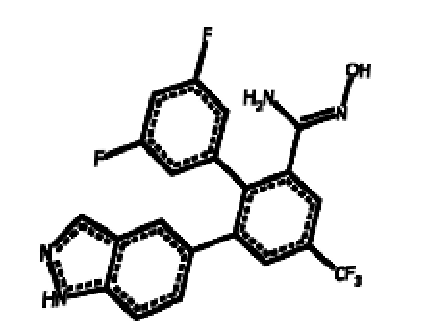 N/C(=N\O)c1cc(C(F)(F)F)cc(-c2ccc3[nH]ncc3c2)c1-c1cc(F)cc(F)c1